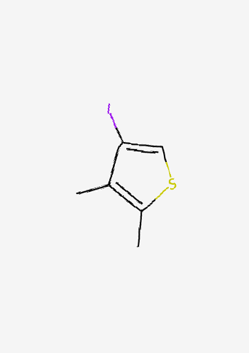 Cc1scc(I)c1C